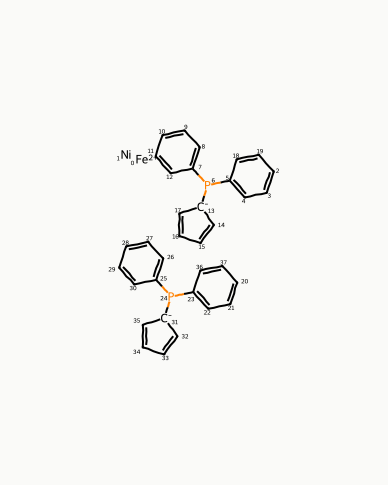 [Fe+2].[Ni].c1ccc(P(c2ccccc2)[c-]2cccc2)cc1.c1ccc(P(c2ccccc2)[c-]2cccc2)cc1